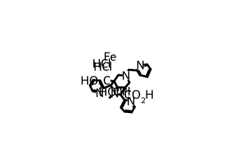 CN1C(c2ccccn2)C2(C(=O)O)CN(Cc3ccccn3)CC(C(=O)O)(C1c1ccccn1)C2(O)O.Cl.Cl.[Fe]